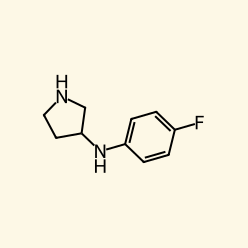 Fc1ccc(NC2CCNC2)cc1